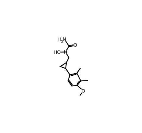 COc1ccc(C2CC2CN(O)C(N)=O)c(C)c1C